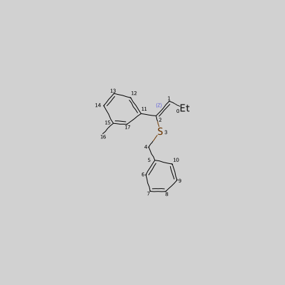 CC/C=C(\SCc1ccccc1)c1cccc(C)c1